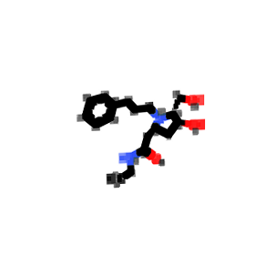 CCNC(=O)C[C@@H]1C[C@H](O)[C@@H](CO)N1CCCc1ccccc1